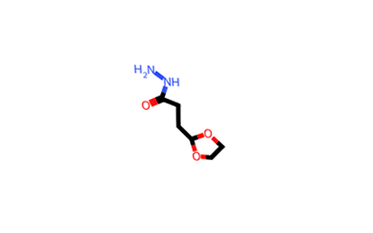 NNC(=O)CCC1OCCO1